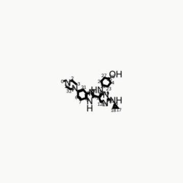 CN1CCN(c2ccc3[nH]c(-c4cnc(NC5CC5)nc4NC4CCC(O)CC4)nc3c2)CC1